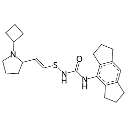 O=C(NS/C=C/C1CCCN1C1CCC1)Nc1c2c(cc3c1CCC3)CCC2